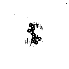 CC1(C)c2ccccc2-c2c1ccc1c2c2ccccc2n1-c1ccc(-c2nc(-c3ccccc3)c3c(n2)[Si](C)(C)c2ccccc2-3)cc1